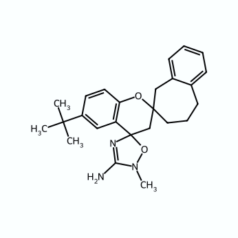 CN1OC2(CC3(CCCc4ccccc4C3)Oc3ccc(C(C)(C)C)cc32)N=C1N